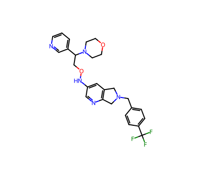 FC(F)(F)c1ccc(CN2Cc3cc(NOCC(c4cccnc4)N4CCOCC4)cnc3C2)cc1